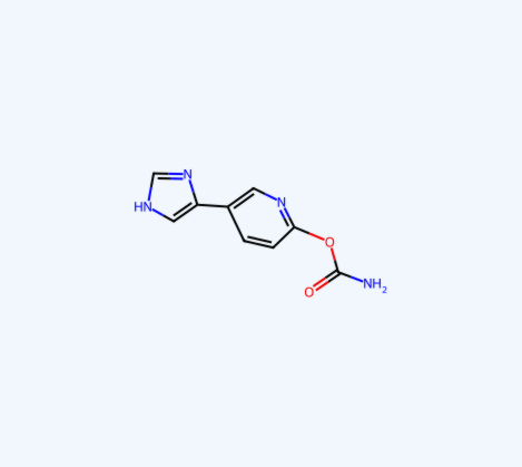 NC(=O)Oc1ccc(-c2c[nH]cn2)cn1